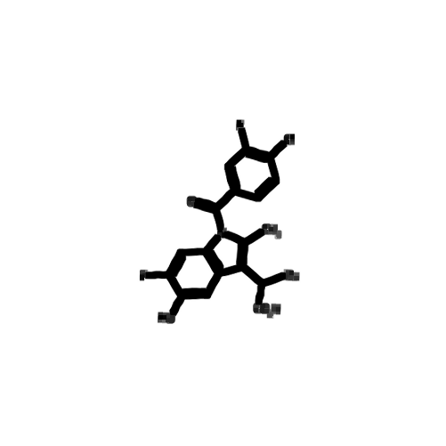 CCC(C)C(C(=O)O)c1c(C)n(C(=O)c2ccc(Cl)c(F)c2)c2cc(F)c(O)cc12